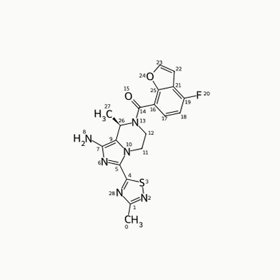 Cc1nsc(-c2nc(N)c3n2CCN(C(=O)c2ccc(F)c4ccoc24)[C@@H]3C)n1